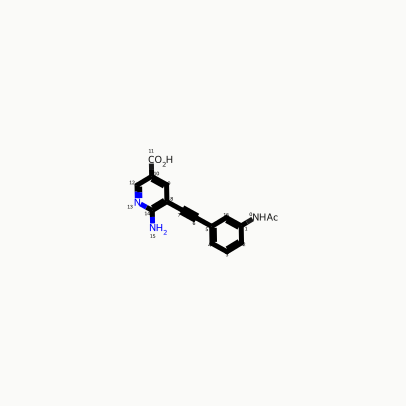 CC(=O)Nc1cccc(C#Cc2cc(C(=O)O)cnc2N)c1